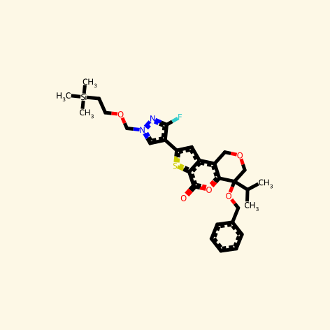 CC(C)C1(OCc2ccccc2)COCc2c1oc(=O)c1sc(-c3cn(COCC[Si](C)(C)C)nc3F)cc21